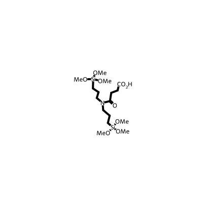 CO[Si](CCCN(CCC[Si](OC)(OC)OC)C(=O)CCC(=O)O)(OC)OC